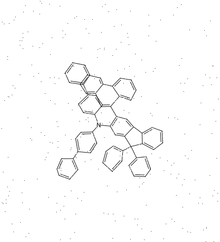 c1ccc(-c2ccc(N(c3ccc(-c4ccccc4)cc3)c3cc4c(cc3-c3cc5ccccc5c5ccccc35)-c3ccccc3C4(c3ccccc3)c3ccccc3)cc2)cc1